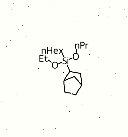 CCCCCC[Si](OCC)(OCCC)C1CC2CCC1C2